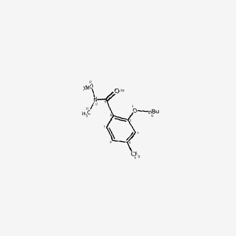 CCCCOc1cc(C(F)(F)F)ccc1C(=O)N(C)OC